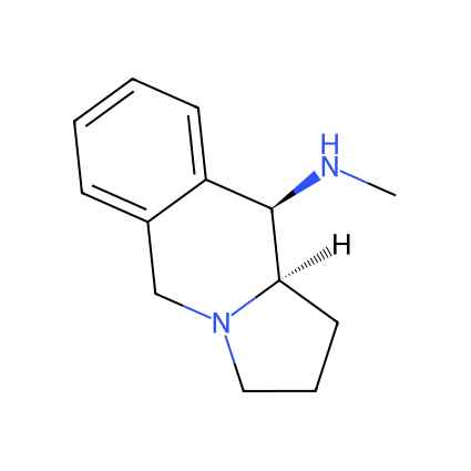 CN[C@@H]1c2ccccc2CN2CCC[C@H]12